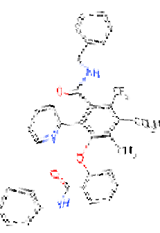 Cc1c(Oc2ccccc2C(=O)Nc2ccccc2)c(-c2ccccn2)c(C(=O)NCc2ccccc2)c(C(F)(F)F)c1C(=O)O